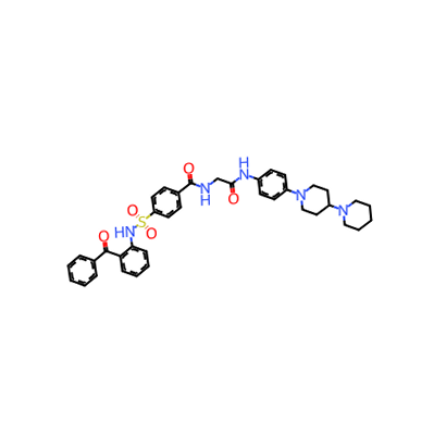 O=C(CNC(=O)c1ccc(S(=O)(=O)Nc2ccccc2C(=O)c2ccccc2)cc1)Nc1ccc(N2CCC(N3CCCCC3)CC2)cc1